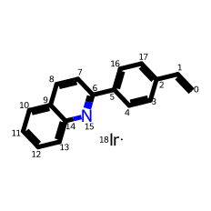 C=Cc1ccc(-c2ccc3ccccc3n2)cc1.[Ir]